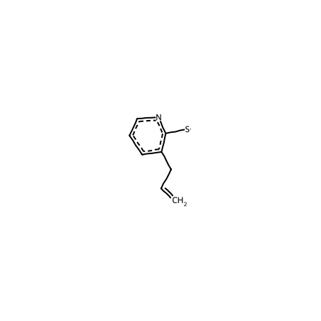 C=CCc1cccnc1[S]